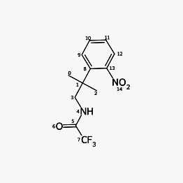 CC(C)(CNC(=O)C(F)(F)F)c1ccccc1[N+](=O)[O-]